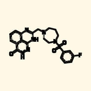 O=c1[nH]nc2c3c(cccc13)N=C(CN1CCCN(S(=O)(=O)c3cccc(F)c3)CC1)N2